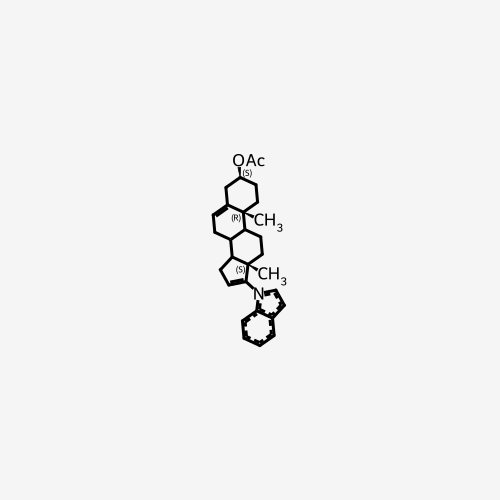 CC(=O)O[C@H]1CC[C@@]2(C)C(=CCC3C2CC[C@]2(C)C(n4ccc5ccccc54)=CCC32)C1